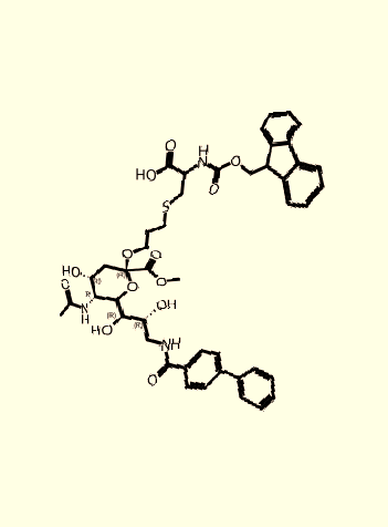 COC(=O)[C@@]1(OCCCSCC(NC(=O)OCC2c3ccccc3-c3ccccc32)C(=O)O)C[C@@H](O)[C@@H](NC(C)=O)C([C@H](O)[C@H](O)CNC(=O)c2ccc(-c3ccccc3)cc2)O1